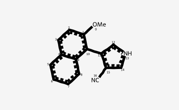 COc1ccc2ccccc2c1-c1c[nH]cc1C#N